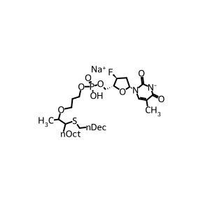 CCCCCCCCCCCSC(CCCCCCCC)C(C)OCCCOP(=O)(O)OC[C@H]1O[C@@H](n2cc(C)c(=O)[n-]c2=O)C[C@@H]1F.[Na+]